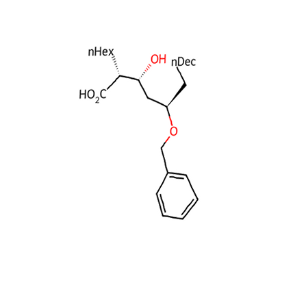 CCCCCCCCCCC[C@H](C[C@@H](O)[C@@H](CCCCCC)C(=O)O)OCc1ccccc1